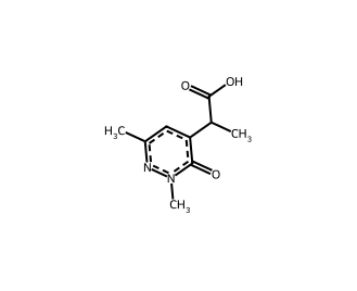 Cc1cc(C(C)C(=O)O)c(=O)n(C)n1